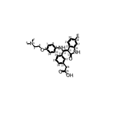 CN(C)CCOc1ccc(NC(=C2C(=O)Nc3cc(F)ccc32)c2cccc(CC(=O)O)c2)cc1